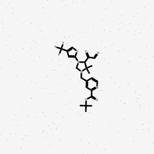 CC(C)(C)OC(=O)c1cc(CN2CN(c3cc(C(F)(F)F)cs3)C(C(=O)C=O)C2(C)C)ccn1